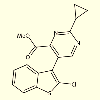 COC(=O)c1nc(C2CC2)ncc1-c1c(Cl)sc2ccccc12